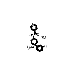 Cl.NC[C@]1(c2cccc(Cl)c2)CC[C@@H](NC(=O)c2ccncc2)CC1